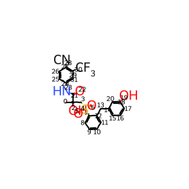 CC(O)(CS(=O)(=O)c1ccccc1Cc1cccc(O)c1)C(=O)Nc1ccc(C#N)c(C(F)(F)F)c1